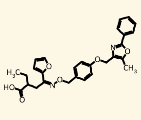 CCC(CC(=NOCc1ccc(OCc2nc(-c3ccccc3)oc2C)cc1)c1ccco1)C(=O)O